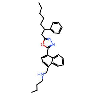 CCCCCC(Cc1nnc(-c2ccc(CNCCCC)c3ccccc23)o1)c1ccccc1